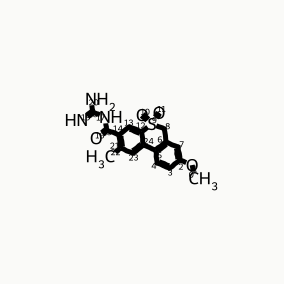 COc1ccc2c(c1)CS(=O)(=O)c1cc(C(=O)NC(=N)N)c(C)cc1-2